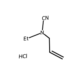 C=CCN(C#N)CC.Cl